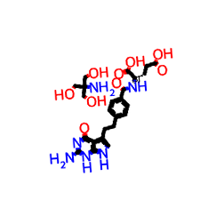 NC(CO)(CO)CO.Nc1nc(=O)c2c(CCc3ccc(C(=O)N[C@@H](CCC(=O)O)C(=O)O)cc3)c[nH]c2[nH]1